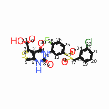 O=C(O)c1scc2[nH]c(=O)n(-c3cc(S(=O)(=O)Cc4cccc(Cl)c4)ccc3F)c(=O)c12